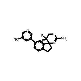 N#Cc1cncc(-c2ccc3c(c2)C2(CC3)N=C(N)OCC2(F)F)c1